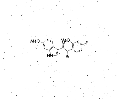 COc1ccc2c(C(=O)C(Br)c3ccc(F)cc3OC)c[nH]c2c1